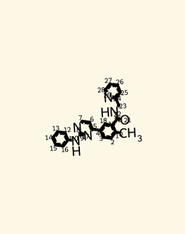 Cc1ccc(-c2ccnc(Nc3ccccc3)n2)cc1C(=O)NCc1ccccn1